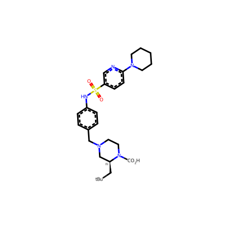 CC(C)(C)C[C@H]1CN(Cc2ccc(NS(=O)(=O)c3ccc(N4CCCCC4)nc3)cc2)CCN1C(=O)O